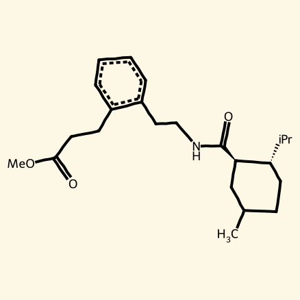 COC(=O)CCc1ccccc1CCNC(=O)[C@@H]1CC(C)CC[C@H]1C(C)C